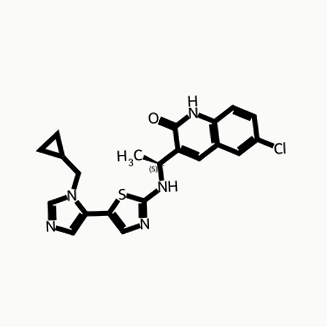 C[C@H](Nc1ncc(-c2cncn2CC2CC2)s1)c1cc2cc(Cl)ccc2[nH]c1=O